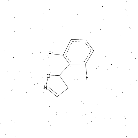 Fc1cccc(F)c1C1C[C]=NO1